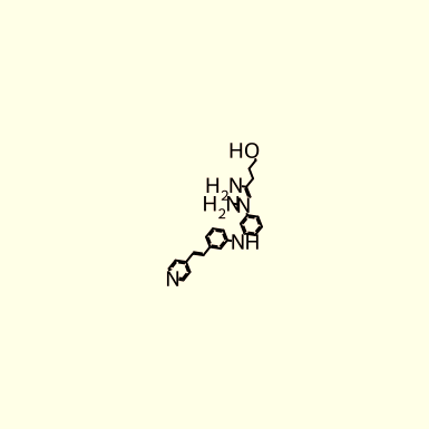 N/C(=C\N(N)c1cccc(Nc2cccc(/C=C/c3ccncc3)c2)c1)CCCO